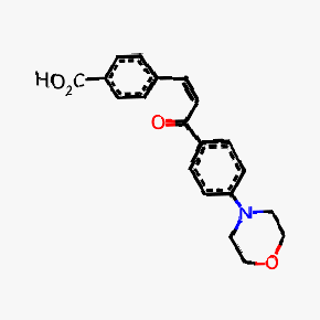 O=C(O)c1ccc(/C=C\C(=O)c2ccc(N3CCOCC3)cc2)cc1